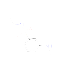 [CH2-][NH2+]c1cccc(S(=O)(=O)NCC)c1